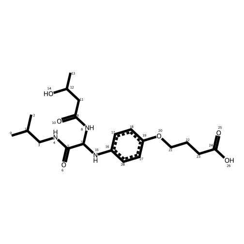 CC(C)CNC(=O)C(NC(=O)CC(C)O)Nc1ccc(OCCCC(=O)O)cc1